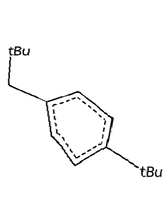 CC(C)(C)Cc1ccc(C(C)(C)C)cc1